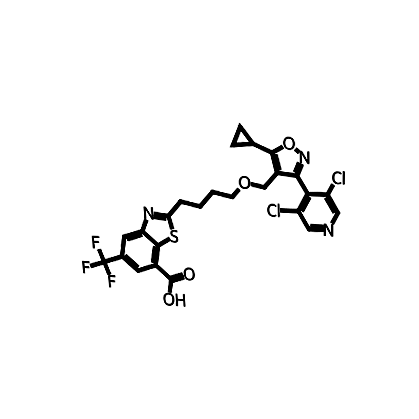 O=C(O)c1cc(C(F)(F)F)cc2nc(CCCCOCc3c(-c4c(Cl)cncc4Cl)noc3C3CC3)sc12